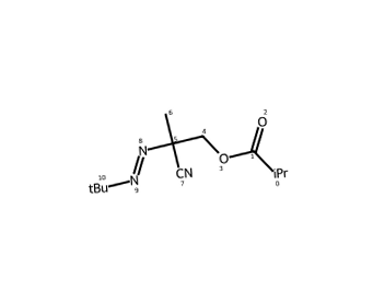 CC(C)C(=O)OCC(C)(C#N)N=NC(C)(C)C